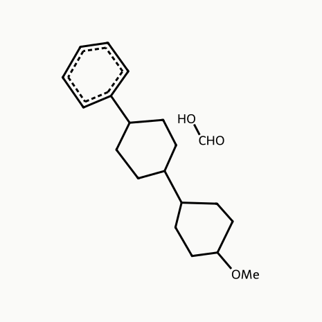 COC1CCC(C2CCC(c3ccccc3)CC2)CC1.O=CO